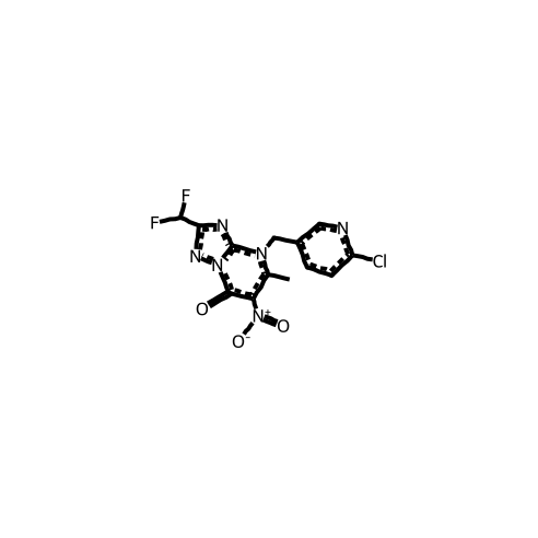 Cc1c([N+](=O)[O-])c(=O)n2nc(C(F)F)nc2n1Cc1ccc(Cl)nc1